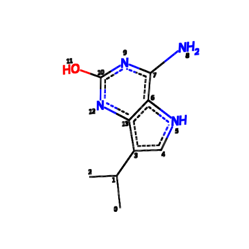 CC(C)c1c[nH]c2c(N)nc(O)nc12